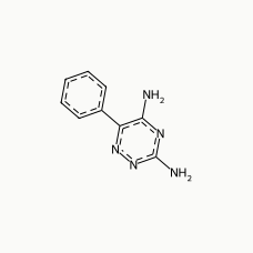 Nc1nnc(-c2ccccc2)c(N)n1